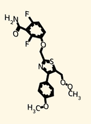 COOCc1sc(COc2ccc(F)c(C(N)=O)c2F)nc1-c1ccc(OC)cc1